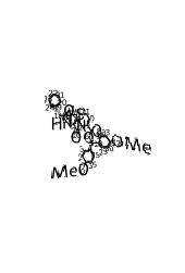 COc1ccc(C(OC(=O)C2=CCS[C@H]3[C@H](NC(=O)Cc4ccccc4)C(=O)N23)c2ccc(OC)cc2)cc1